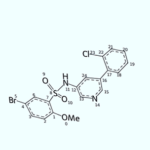 COc1ccc(Br)cc1S(=O)(=O)Nc1cncc(-c2ccccc2Cl)c1